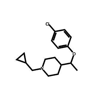 CC(Oc1ccc(Cl)cc1)C1CCN(CC2CC2)CC1